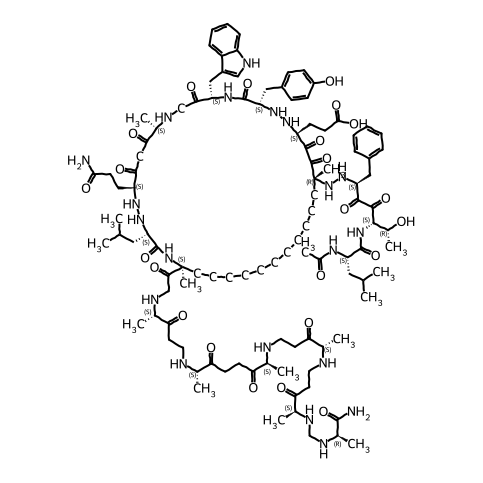 CC(=O)N[C@@H](CC(C)C)C(=O)N[C@H](C(=O)C(=O)[C@H](Cc1ccccc1)NN[C@]1(C)CCCCCCCCCCC[C@@](C)(C(=O)CN[C@@H](C)C(=O)CCN[C@@H](C)C(=O)CCC(=O)[C@H](C)NCCC(=O)[C@H](C)NCCC(=O)[C@H](C)NCN[C@H](C)C(N)=O)NC(=O)[C@H](CC(C)C)NN[C@@H](CCC(N)=O)C(=O)CC(=O)[C@H](C)NCC(=O)[C@H](Cc2c[nH]c3ccccc23)NC(=O)[C@H](Cc2ccc(O)cc2)NN[C@@H](CCC(=O)O)C(=O)C1=O)[C@@H](C)O